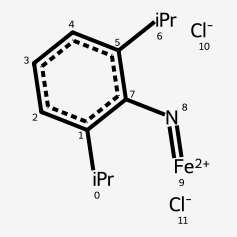 CC(C)c1cccc(C(C)C)c1[N]=[Fe+2].[Cl-].[Cl-]